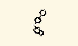 c1cc2nc(Nc3ccc(N4CCOCC4)cc3)ncc2s1